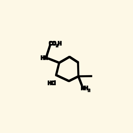 CC1(N)CCC(NC(=O)O)CC1.Cl